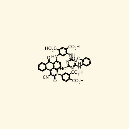 [C-]#[N+]c1c2c3c(c(Nc4cc(Nc5nc(O)nc(Nc6ccccc6C(=O)O)n5)c(C(=O)O)cc4C(=O)O)ccc3n(-c3ccc(C(=O)O)c(C(=O)O)c3)c1=O)C(=O)c1ccccc1-2